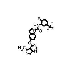 CC1NCc2ncnc(Oc3ccc4c(ccn4C(=O)Nc4cc(C(F)(F)F)ccc4F)c3)c21